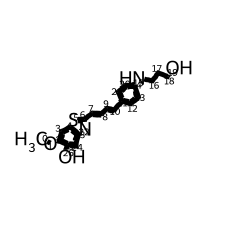 COc1cc2sc(/C=C/C=C/c3ccc(NCCCO)cc3)nc2cc1O